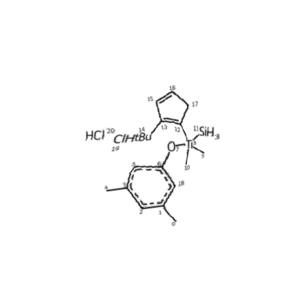 Cc1cc(C)cc([O][Ti]([CH3])([CH3])([SiH3])[C]2=C(C(C)(C)C)C=CC2)c1.Cl.Cl